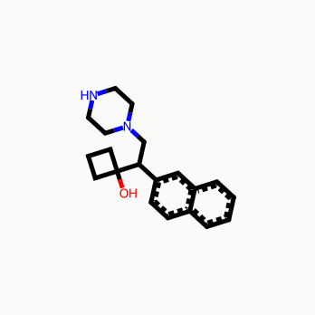 OC1(C(CN2CCNCC2)c2ccc3ccccc3c2)CCC1